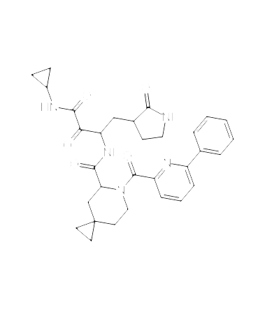 O=C(NC1CC1)C(=O)C(CC1CCNC1=O)NC(=O)C1CC2(CCN1C(=O)c1cccc(-c3ccccc3)n1)CC2